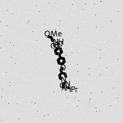 COCCCNS(=O)(=O)c1ccc(-c2ccc(OCC3CCN(c4nc(C(C)C)no4)CC3)cc2)cc1